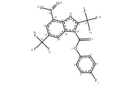 O=C(Oc1ccc(F)cc1)n1c(C(F)(F)F)nc2c([N+](=O)[O-])cc(C(F)(F)F)cc21